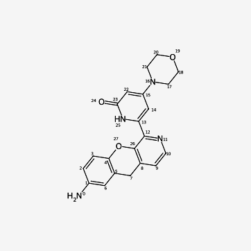 Nc1ccc2c(c1)Cc1ccnc(-c3cc(N4CCOCC4)cc(=O)[nH]3)c1O2